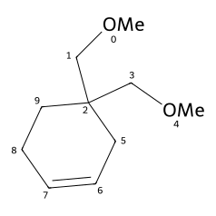 COCC1(COC)CC=CCC1